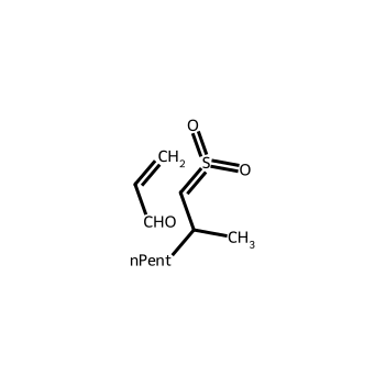 C=CC=O.CCCCCC(C)C=S(=O)=O